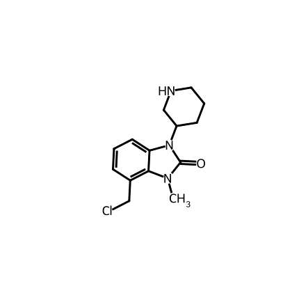 Cn1c(=O)n(C2CCCNC2)c2cccc(CCl)c21